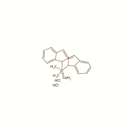 Cl.Cl.[CH3][Zr]([CH3])(=[GeH2])([CH]1C=Cc2ccccc21)[CH]1C=Cc2ccccc21